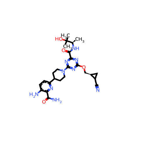 C[C@@H](NC(=O)c1nc(OC[C@H]2CC2C#N)nc(N2CCC(c3ccc(N)c(C(N)=O)n3)CC2)n1)C(C)(C)O